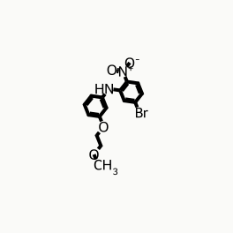 COCCOc1cccc(Nc2cc(Br)ccc2[N+](=O)[O-])c1